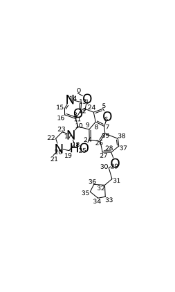 COC(=O)c1coc2c1c(C(c1ccncc1)N1CCN(C)CC1)c(O)c1cc(OCCC3CCCC3)ccc12